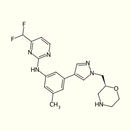 Cc1cc(Nc2nccc(C(F)F)n2)cc(-c2cnn(C[C@@H]3CNCCO3)c2)c1